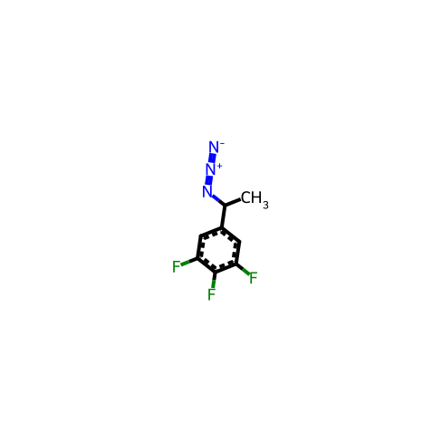 CC(N=[N+]=[N-])c1cc(F)c(F)c(F)c1